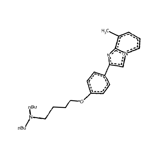 CCCCN(CCCC)CCCCOc1ccc(-c2cn3cccc(C)c3n2)cc1